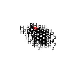 Bc1c(B)c(B)c(-c2c3c(B)c(B)c(B)c(B)c3c(-c3c(B)c(B)c4oc5c(B)c(B)c(B)c(B)c5c4c3B)c3c(B)c(B)c(B)c(B)c23)c(B)c1B